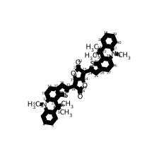 CN1c2ccccc2C(C)(C)c2c1ccc1cc(C3=C4OC(=O)C(c5cc6ccc7c(c6s5)C(C)(C)c5ccccc5N7C)=C4OC3=O)sc21